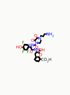 NCCCN1CCN(C(=O)N[C@H](C(=O)N[C@H]2Cc3cccc(C(=O)O)c3OB2O)c2cc(F)c(O)c(F)c2F)C(=O)C1=O